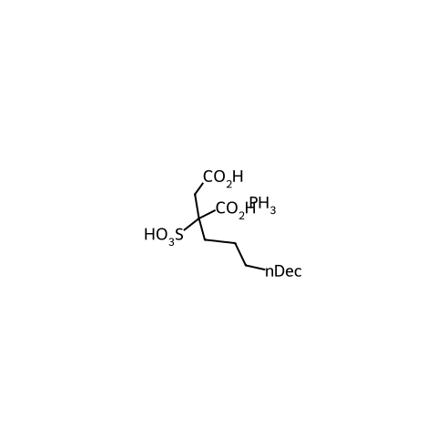 CCCCCCCCCCCCCC(CC(=O)O)(C(=O)O)S(=O)(=O)O.P